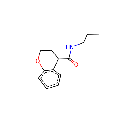 CCCNC(=O)C1CCOc2ccccc21